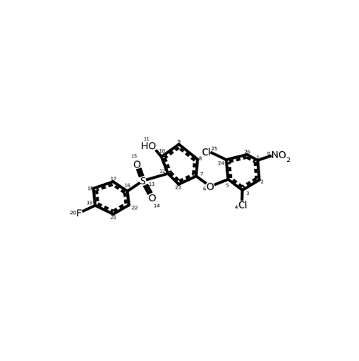 O=[N+]([O-])c1cc(Cl)c(Oc2ccc(O)c(S(=O)(=O)c3ccc(F)cc3)c2)c(Cl)c1